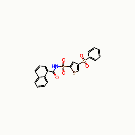 O=C(NS(=O)(=O)c1cc(S(=O)(=O)c2ccccc2)cs1)c1cccc2ccccc12